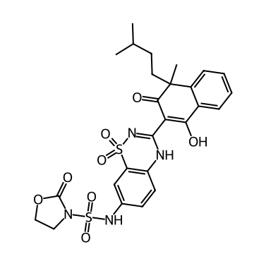 CC(C)CCC1(C)C(=O)C(C2=NS(=O)(=O)c3cc(NS(=O)(=O)N4CCOC4=O)ccc3N2)=C(O)c2ccccc21